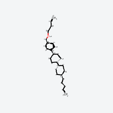 C=CCCC[C@H]1CC[C@H]([C@H]2CC[C@H](c3ccc(COCCC=C)cc3)CC2)CC1